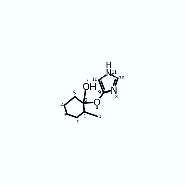 CC1CCCCC1(O)Oc1c[nH]cn1